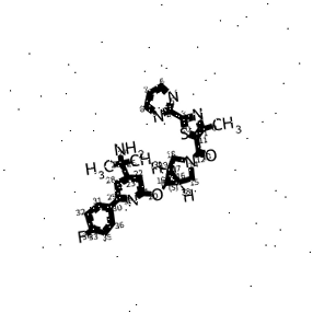 Cc1nc(-c2ncccn2)sc1C(=O)N1C[C@@H]2[C@H](C1)[C@@H]2Oc1cc(C(C)(C)N)cc(-c2ccc(F)cc2)n1